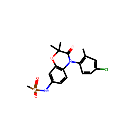 Cc1cc(Cl)ccc1N1C(=O)C(C)(C)Oc2cc(NS(C)(=O)=O)ccc21